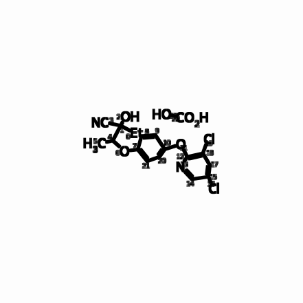 CCC(O)(C#N)C(C)Oc1ccc(Oc2ncc(Cl)cc2Cl)cc1.O=C(O)O